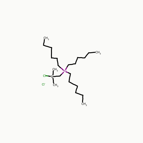 CCCCCC[P+](CCCCCC)(CCCCCC)C[Si](C)(C)Cl.[Cl-]